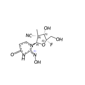 C[C@]1(C#N)[C@H](n2ccc(=O)[nH]/c2=N\O)O[C@](F)(CO)[C@H]1O